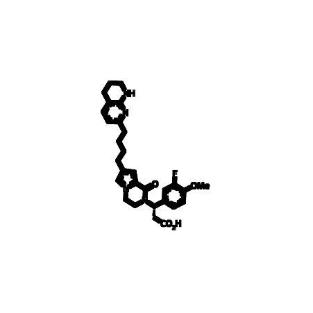 COc1ccc([C@H](CC(=O)O)N2CCn3cc(CCCCc4ccc5c(n4)NCCC5)cc3C2=O)cc1F